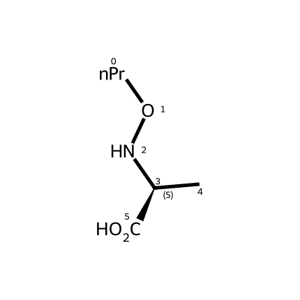 CCCON[C@@H](C)C(=O)O